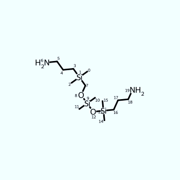 C[Si](C)(CCCN)CO[Si](C)(C)O[Si](C)(C)CCCN